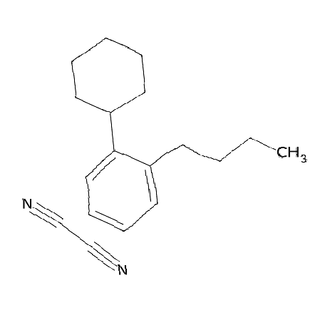 CCCCc1ccccc1C1CCCCC1.N#CC#N